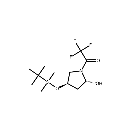 CC(C)(C)[Si](C)(C)O[C@@H]1C[C@@H](O)N(C(=O)C(F)(F)F)C1